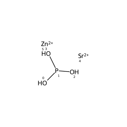 OP(O)O.[Sr+2].[Zn+2]